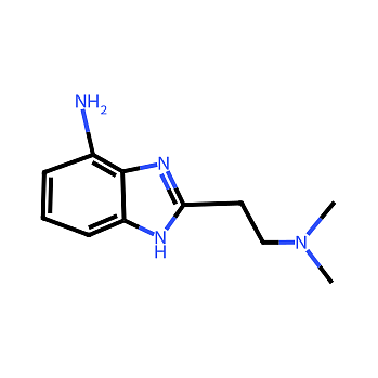 CN(C)CCc1nc2c(N)cccc2[nH]1